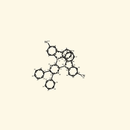 N#Cc1ccc2c(c1)c1ccccc1n2-c1nc(-c2ccccc2)c(-c2ccccc2)nc1-n1c2ccccc2c2cc(C#N)ccc21